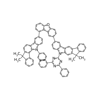 CC1(C)c2ccccc2-c2cc3c4cc(-c5ccc6oc7cccc(-c8ccc9c(c8)c8ccc%10c(c8n9-c8ccccc8)-c8ccccc8C%10(C)C)c7c6c5)ccc4n(-c4nc(-c5ccccc5)nc(-c5ccccc5)n4)c3cc21